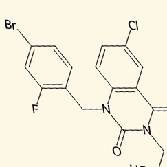 O=C(O)Cn1c(=S)c2cc(Cl)ccc2n(Cc2ccc(Br)cc2F)c1=O